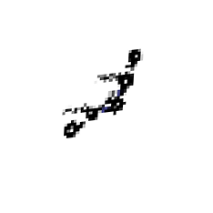 COc1cc(/C=C/c2cccc(/C=C/c3ccc(OCc4ccccc4)c(OC)c3)c2CC(C)C)ccc1OCc1ccccc1